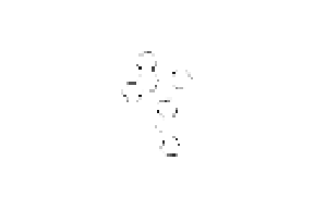 c1ccc(Nc2ccc(-c3ccccc3-c3cc4ccccc4c4ccccc34)cc2)cc1